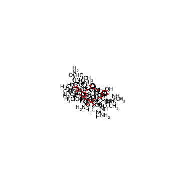 CC[C@H](C)[C@H](NC(=O)[C@H](Cc1ccccc1)NC(=O)[C@H](CC(=O)O)NC(=O)[C@H](CCCNC(=N)N)NC(=O)[C@H](C)NC(=O)[C@H](C)N)C(=O)N[C@@H](CC(N)=O)C(=O)N[C@@H](Cc1c[nH]c2ccccc12)C(=O)N[C@@H](CC(C)C)C(=O)N[C@H](C(=O)N[C@@H](CCC(N)=O)C(=O)N[C@H](C(=O)N[C@@H](CCCCN)C(=O)N[C@H](C(=O)N[C@H](C(=O)N[C@@H](CC(=O)O)C(=O)O)[C@@H](C)O)[C@@H](C)CC)[C@@H](C)O)[C@@H](C)CC